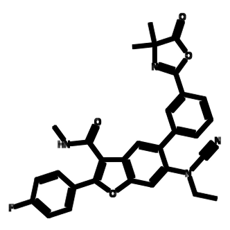 CCN(C#N)c1cc2oc(-c3ccc(F)cc3)c(C(=O)NC)c2cc1-c1cccc(C2=NC(C)(C)C(=O)O2)c1